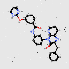 O=C(Nc1cccc(-n2c(=O)c(Cc3ccccc3)nc3cccnc32)c1)c1cccc(Oc2ncccn2)c1